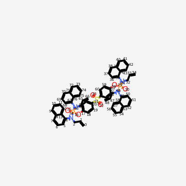 C=CCN(c1cccc2ccccc12)P(=O)(Oc1ccc(S(=O)(=O)c2ccc(OP(=O)(N(CC=C)c3cccc4ccccc34)N(CC=C)c3cccc4ccccc34)cc2)cc1)N(CC=C)c1cccc2ccccc12